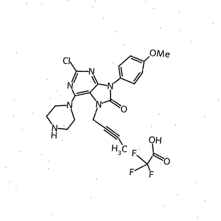 CC#CCn1c(=O)n(-c2ccc(OC)cc2)c2nc(Cl)nc(N3CCNCC3)c21.O=C(O)C(F)(F)F